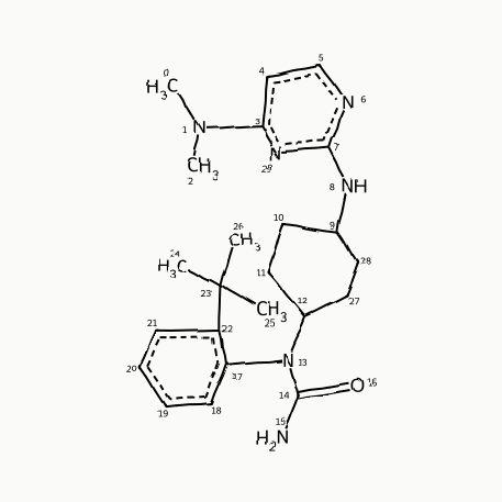 CN(C)c1ccnc(NC2CCC(N(C(N)=O)c3ccccc3C(C)(C)C)CC2)n1